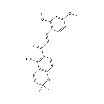 COc1ccc(/C=C/C(=O)c2ccc3c(c2O)C=CC(C)(C)O3)c(OC)c1